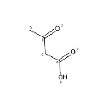 CC(=O)[CH]C(=O)O